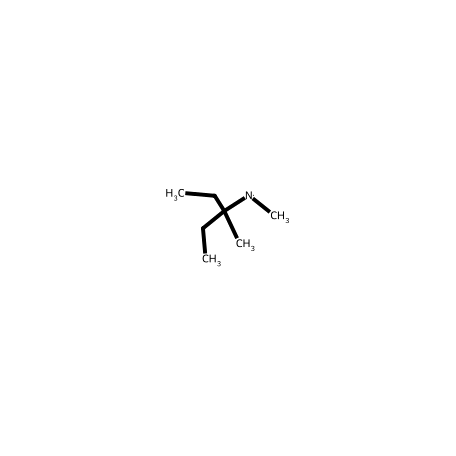 CCC(C)(CC)[N]C